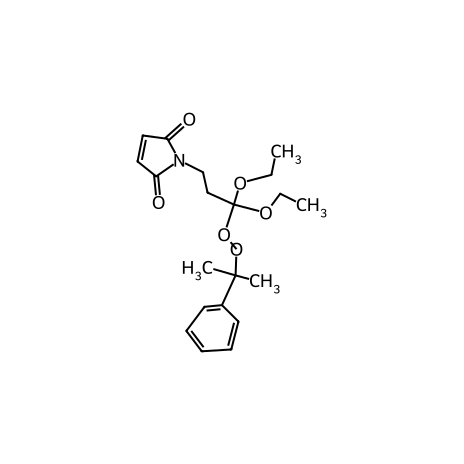 CCOC(CCN1C(=O)C=CC1=O)(OCC)OOC(C)(C)c1ccccc1